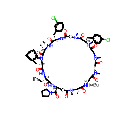 CC[C@H](C)[C@@H]1NC(=O)[C@H](C)N(C)C(=O)C[C@@H](C(=O)N2CCCC2)NC(=O)[C@H](CC(C)C)NC(=O)[C@H](Cc2ccccc2)N(C)C(=O)[C@H](CC(C)C)NC(=O)[C@H](Cc2cccc(Cl)c2)NC(=O)CN(C)C(=O)[C@H](Cc2ccc(Cl)cc2)N(C)C(=O)CN(C)C(=O)CN(C)C1=O